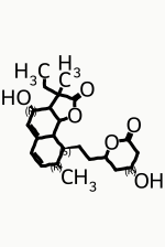 CCC1(C)C(=O)OC2C3C(=C[C@@H](O)C21)C=C[C@H](C)[C@@H]3CCC1C[C@@H](O)CC(=O)O1